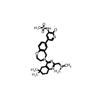 CN(C)Cc1nc2c(c(N3CCOc4ccc(-c5cnc(Cl)c(NS(C)(=O)=O)c5)cc4C3)n1)CC(C)(C)CC2